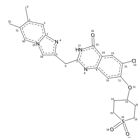 Cc1cc2nc(Cc3nc4cc(OC5CCS(=O)(=O)CC5)c(Cl)cc4c(=O)[nH]3)cn2cc1C